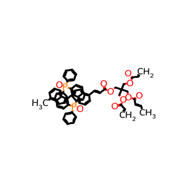 C=CC(=O)OCC(COC(=O)C=C)(COC(=O)/C=C/C)COC(=O)/C=C/c1cccc2c(-c3c(P(=O)(c4ccccc4)c4ccccc4)ccc4c(C)cccc34)c(P(=O)(c3ccccc3)c3ccccc3)ccc12